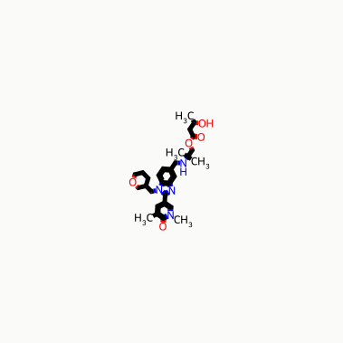 Cc1cc(-c2nc3cc(CNC(C)(C)COC(=O)CC(C)O)ccc3n2CC2CCCOC2)cn(C)c1=O